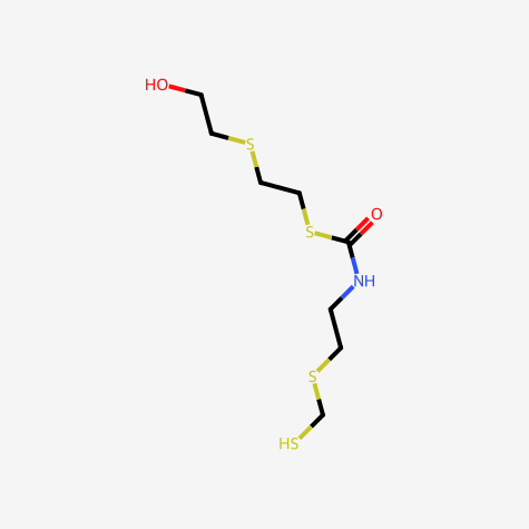 O=C(NCCSCS)SCCSCCO